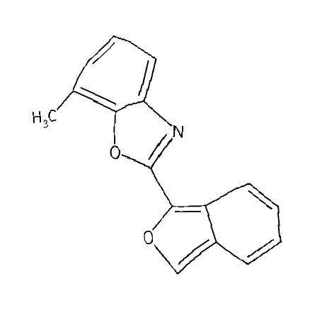 Cc1cccc2nc(-c3occ4ccccc34)oc12